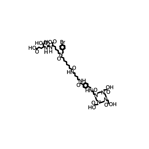 O=C(O)CCC(NC(=O)NC(CCCCN(Cc1ccc(Br)cc1)C(=O)CCCCCCC(=O)NCCCCNC(=O)c1ccc(CNC(=O)CN2CCN(CC(=O)O)CCN(CC(=O)O)CCN(CC(=O)O)CC2)cc1)C(=O)O)C(=O)O